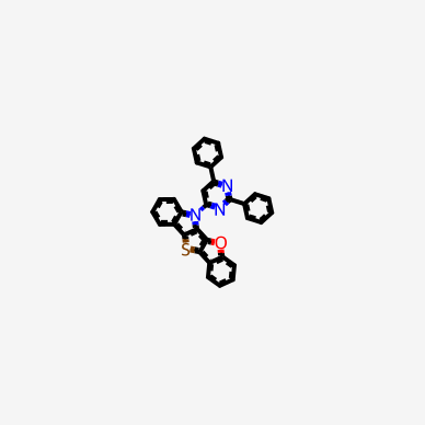 c1ccc(-c2cc(-n3c4ccccc4c4sc5c6ccccc6oc5c43)nc(-c3ccccc3)n2)cc1